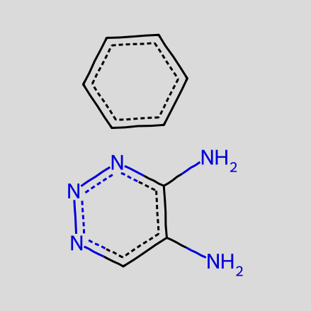 Nc1cnnnc1N.c1ccccc1